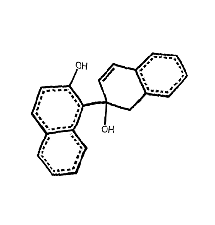 Oc1ccc2ccccc2c1C1(O)C=Cc2ccccc2C1